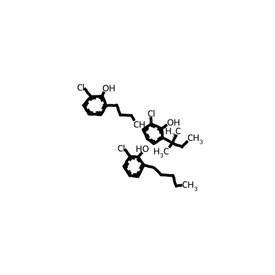 CCC(C)(C)c1cccc(Cl)c1O.CCCCCc1cccc(Cl)c1O.CCCCc1cccc(Cl)c1O